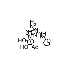 CC(=O)[C@H]1O[C@@H](n2cnc3c(N)nc(N/N=C/C4CCCCO4)nc32)[C@H](O)[C@@H]1O